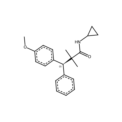 COc1ccc([C@H](c2ccccc2)C(C)(C)C(=O)NC2CC2)cc1